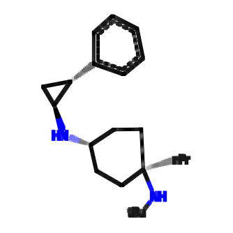 CCC[C@]1(NC(C)(C)C)CC[C@H](N[C@H]2C[C@@H]2c2ccccc2)CC1